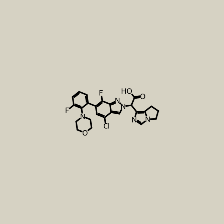 O=C(O)C(c1ncn2c1CCC2)n1cc2c(Cl)cc(-c3cccc(F)c3N3CCOCC3)c(F)c2n1